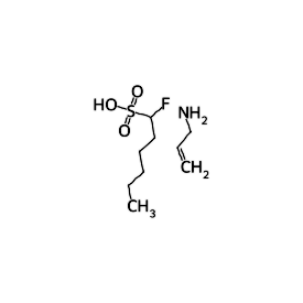 C=CCN.CCCCCC(F)S(=O)(=O)O